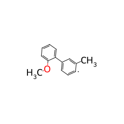 COc1ccccc1-c1cc[c]c(C)c1